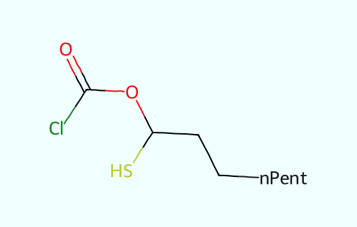 CCCCCCCC(S)OC(=O)Cl